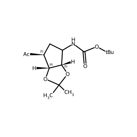 CC(=O)[C@H]1CC(NC(=O)OC(C)(C)C)[C@@H]2OC(C)(C)O[C@H]12